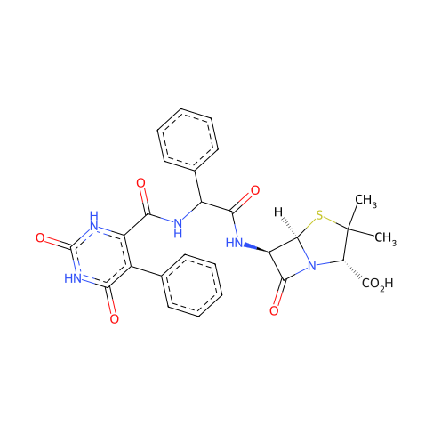 CC1(C)S[C@@H]2[C@H](NC(=O)C(NC(=O)c3[nH]c(=O)[nH]c(=O)c3-c3ccccc3)c3ccccc3)C(=O)N2[C@H]1C(=O)O